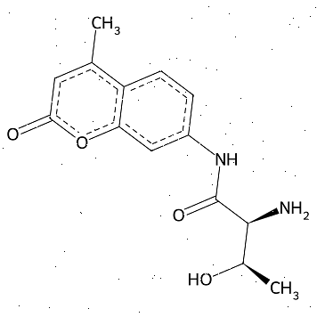 Cc1cc(=O)oc2cc(NC(=O)[C@@H](N)[C@@H](C)O)ccc12